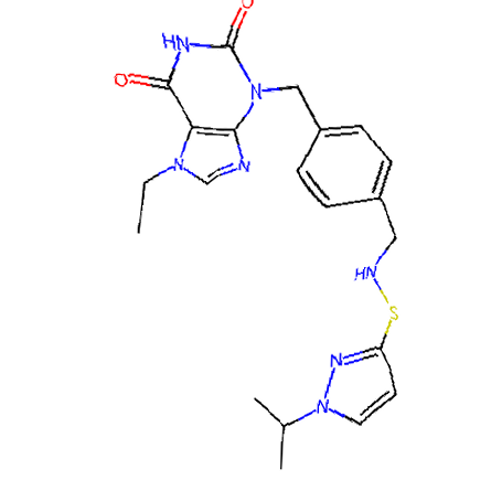 CCn1cnc2c1c(=O)[nH]c(=O)n2Cc1ccc(CNSc2ccn(C(C)C)n2)cc1